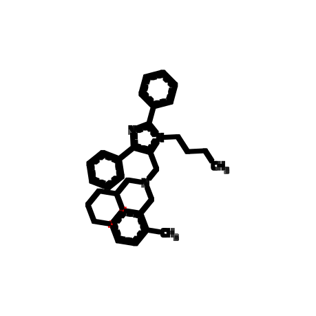 CCCCn1c(-c2ccccc2)nc(-c2ccccc2)c1CN(Cc1ccccc1C)CC1CCCCC1